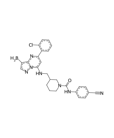 Bc1cnn2c(NCC3CCCN(C(=O)Nc4ccc(C#N)cc4)C3)cc(-c3ccccc3Cl)nc12